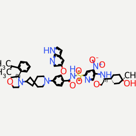 CC(C)c1ccccc1[C@@H]1COCCN1C1CC2(CCN(c3ccc(C(=O)NS(=O)(=O)c4cc([N+](=O)[O-])c5c(n4)OC[C@H]([C@H]4CC[C@](C)(O)CC4)N5)c(Oc4cnc5[nH]ccc5c4)c3)CC2)C1